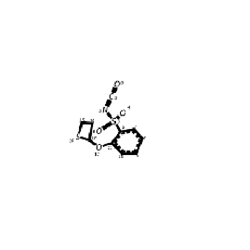 O=C=NS(=O)(=O)c1ccccc1OC1CCS1